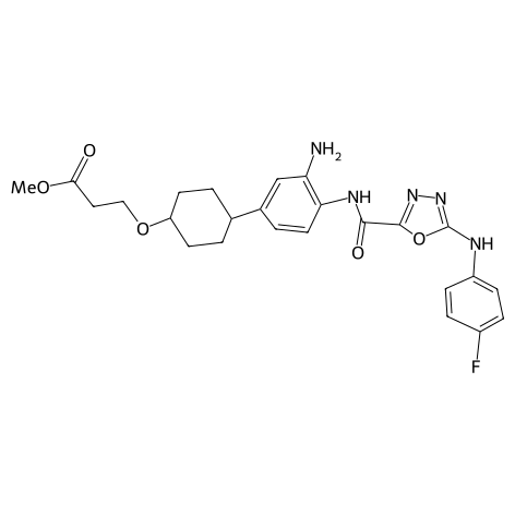 COC(=O)CCOC1CCC(c2ccc(NC(=O)c3nnc(Nc4ccc(F)cc4)o3)c(N)c2)CC1